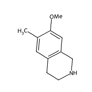 COc1cc2c(cc1C)CCNC2